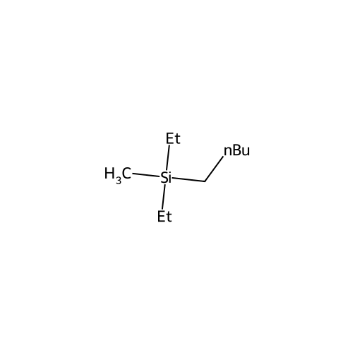 CCCCC[Si](C)(CC)CC